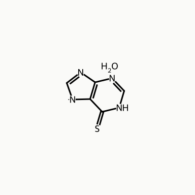 O.S=c1[nH]cnc2c1[N]C=N2